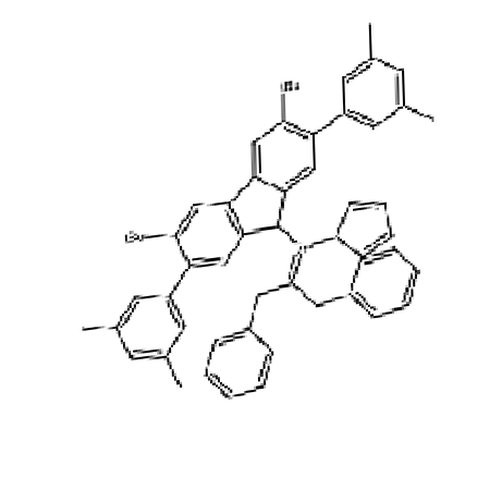 Cc1cc(C)cc(-c2cc3c(cc2C(C)(C)C)-c2cc(C(C)(C)C)c(-c4cc(C)cc(C)c4)cc2[CH]3[Zr](=[C](Cc2ccccc2)Cc2ccccc2)[CH]2C=CC=C2)c1